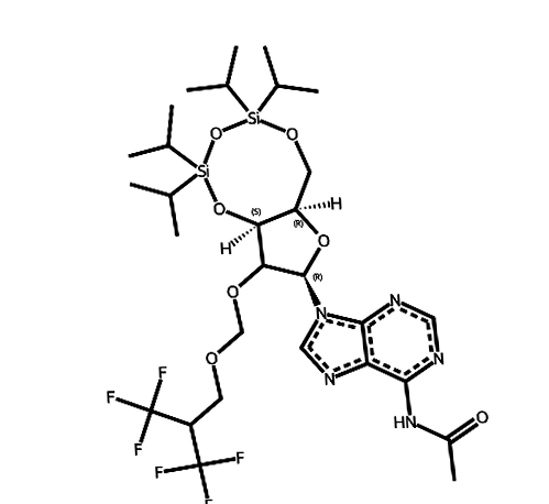 CC(=O)Nc1ncnc2c1ncn2[C@@H]1O[C@@H]2CO[Si](C(C)C)(C(C)C)O[Si](C(C)C)(C(C)C)O[C@@H]2C1OCOCC(C(F)(F)F)C(F)(F)F